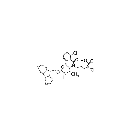 C[C@H](NC(=O)OCC1c2ccccc2-c2ccccc21)c1nc2cccc(Cl)c2c(=O)n1CCCN(C)C(=O)O